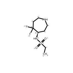 CCS(=O)(=O)N[C@@H]1CCNCCC1(F)F